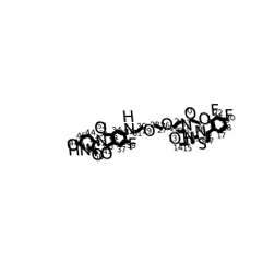 O=C(COc1c(-c2csc(N3CCOCC3)n2)ccc(F)c1F)NCCOCCOCCNc1cc2c(cc1F)C(=O)N(C1CCC(=O)NC1=O)C2=O